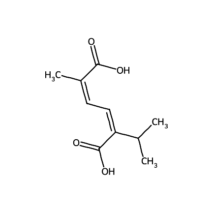 CC(=CC=C(C(=O)O)C(C)C)C(=O)O